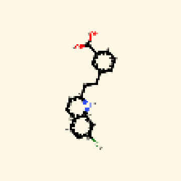 O=C(O)c1cccc(CCc2ccc3ccc(Cl)cc3n2)c1